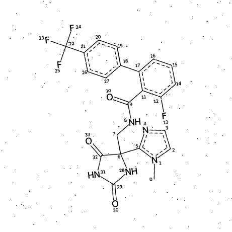 Cn1ccnc1C1(CNC(=O)c2c(F)cccc2-c2ccc(C(F)(F)F)cc2)NC(=O)NC1=O